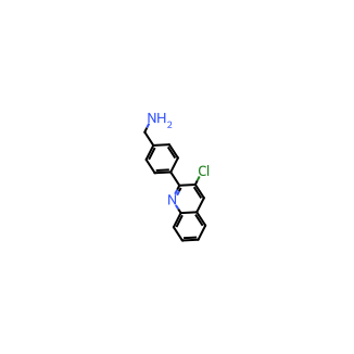 NCc1ccc(-c2nc3ccccc3cc2Cl)cc1